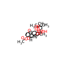 CC(=O)OC[C@]12CC[C@H]3[C@@H](C[C@H]4O[C@]45[C@@H](OC(C)=O)C=CC(=O)[C@]35C)[C@]1(O)CC[C@@]2(O)C(C)(O)C1CC(C)=C(C)C(=O)O1